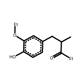 CCOc1cc(CC(C)C(=O)CC)ccc1O